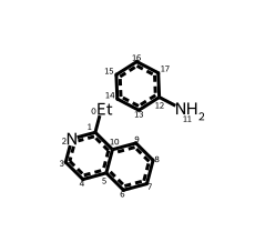 CCc1nccc2ccccc12.Nc1ccccc1